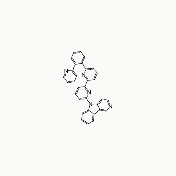 c1ccc(-c2ccccc2-c2cccc(-c3cccc(-n4c5ccccc5c5cnccc54)n3)n2)nc1